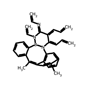 C=C/C=C1C(=N/C=C)/N(C=C)B2c3ccccc3/C(C)=C3/C=C(C)c4ccc3c(c4)N2C/1=C/C=C